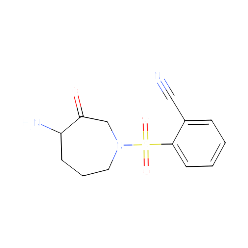 N#Cc1ccccc1S(=O)(=O)N1CCCC(N)C(=O)C1